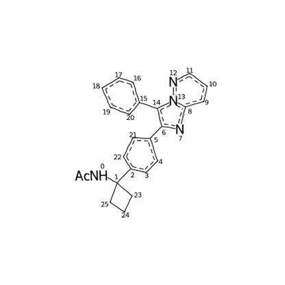 CC(=O)NC1(c2ccc(-c3nc4cccnn4c3-c3ccccc3)cc2)CCC1